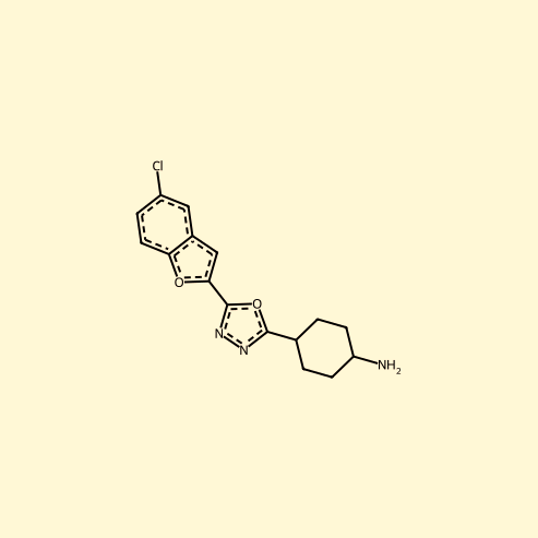 NC1CCC(c2nnc(-c3cc4cc(Cl)ccc4o3)o2)CC1